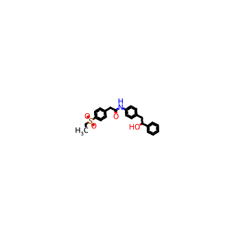 CCS(=O)(=O)c1ccc(CC(=O)Nc2ccc(CC(O)c3ccccc3)cc2)cc1